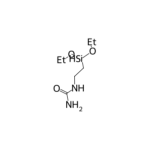 CCO[SiH](CCNC(N)=O)OCC